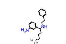 CCCCC(NCCc1ccccc1)c1cccc(N)c1